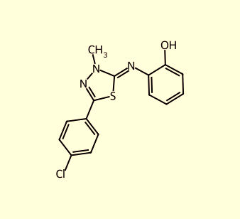 Cn1nc(-c2ccc(Cl)cc2)sc1=Nc1ccccc1O